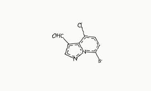 O=Cc1cnn2c(Br)ccc(Cl)c12